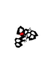 c1ccc(-c2nc(-c3cccc4ccc5sc6ccccc6c5c34)nc3c2ccc2ccccc23)cc1